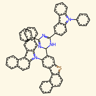 c1ccc(C2=NC(c3cc4sc5ccc6ccccc6c5c4cc3-n3c4cc5ccccc5cc4c4c5ccccc5ccc43)NC(c3ccc4c(c3)c3ccccc3n4-c3ccccc3)=N2)cc1